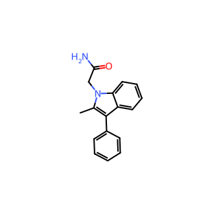 Cc1c(-c2ccccc2)c2ccccc2n1CC(N)=O